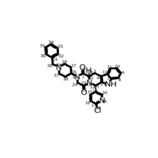 O=C1[C@H]2Cc3c([nH]c4ccccc34)[C@@H](c3ccc(Cl)nc3)N2C(=O)CN1C1CCN(Cc2ccccc2)CC1